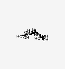 OCC(O)C(O)CNCc1cncc(CNCC(O)C(O)CO)c1